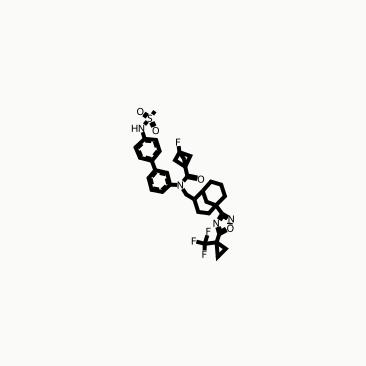 CS(=O)(=O)Nc1ccc(-c2cccc(N(CC3CCC4(c5noc(C6(C(F)(F)F)CC6)n5)CCCC3C4)C(=O)C34CC(F)(C3)C4)c2)cc1